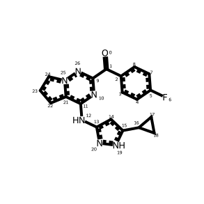 O=C(c1ccc(F)cc1)c1nc(Nc2cc(C3CC3)[nH]n2)c2cccn2n1